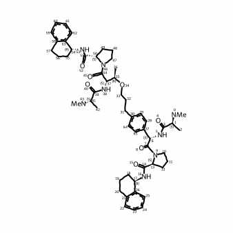 CN[C@@H](C)C(=O)N[C@H](C(=O)N1CCC[C@H]1C(=O)N[C@@H]1CCCc2ccccc21)c1ccc(CCCO[C@H](C)[C@H](NC(=O)[C@H](C)NC)C(=O)N2CCC[C@H]2C(=O)N[C@@H]2CCCc3ccccc32)cc1